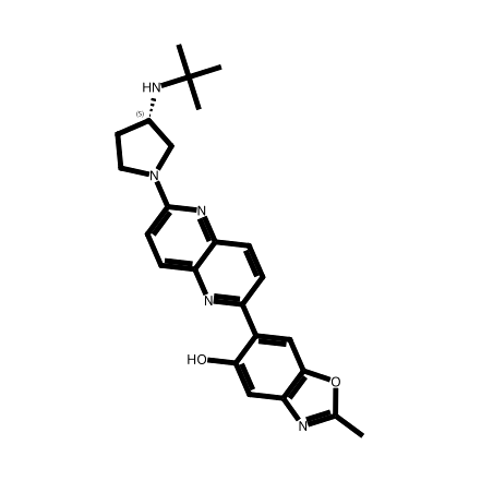 Cc1nc2cc(O)c(-c3ccc4nc(N5CC[C@H](NC(C)(C)C)C5)ccc4n3)cc2o1